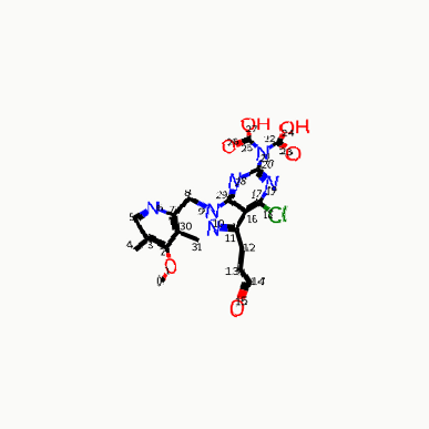 COc1c(C)cnc(Cn2nc(CCC=O)c3c(Cl)nc(N(C(=O)O)C(=O)O)nc32)c1C